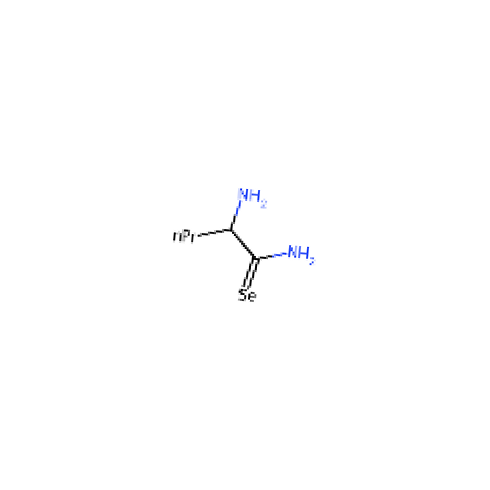 CCCC(N)C(N)=[Se]